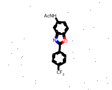 CC(=O)Nc1ccc2oc(-c3ccc(C(F)(F)F)cc3)nc2c1